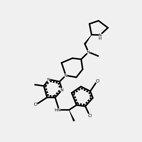 Cc1nc(N2CCC(N(C)C[C@H]3CCCN3)CC2)nc(N[C@H](C)c2ccc(Cl)cc2Cl)c1Cl